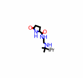 CC(C)C(C)(C)NCCNC(=O)C1CCC(=O)N1